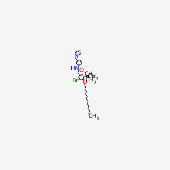 CCCCCCCCCCCCCCOc1ccc(CC(=O)Nc2cccc(C[n+]3ccsc3)c2)cc1C(C)(C)C.[Br-]